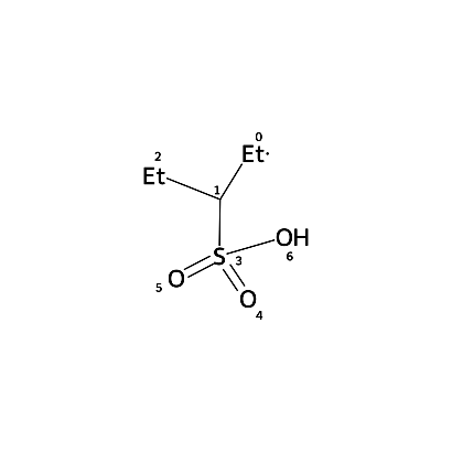 C[CH]C(CC)S(=O)(=O)O